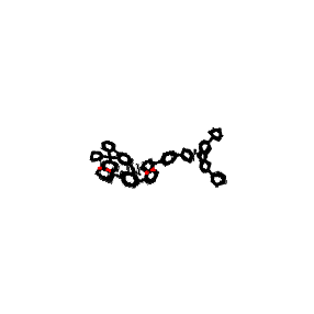 c1ccc(-c2ccc(-c3ccccc3)c(N(c3ccc(-c4ccc(-c5ccc(-n6c7ccc(-c8ccccc8)cc7c7cc(-c8ccccc8)ccc76)cc5)cc4)cc3)c3ccc4c(c3)C(c3ccccc3)(c3ccccc3)c3ccccc3-4)c2)cc1